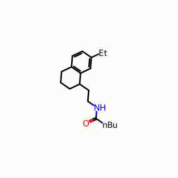 CCCCC(=O)NCCC1CCCc2ccc(CC)cc21